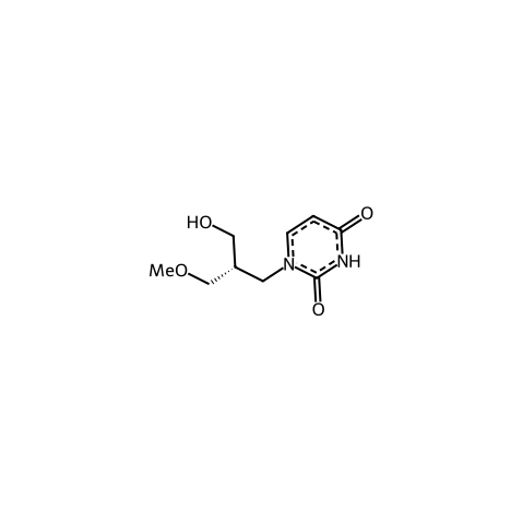 COC[C@H](CO)Cn1ccc(=O)[nH]c1=O